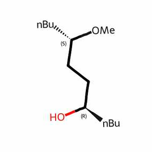 CCCC[C@@H](O)CC[C@H](CCCC)OC